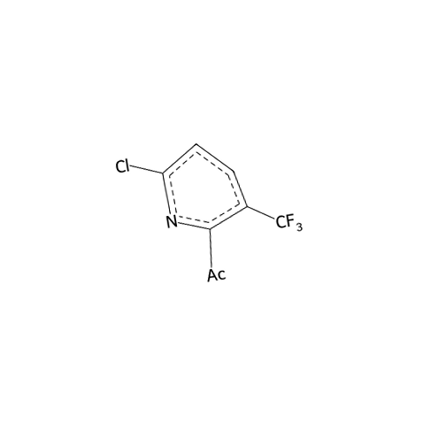 CC(=O)c1nc(Cl)ccc1C(F)(F)F